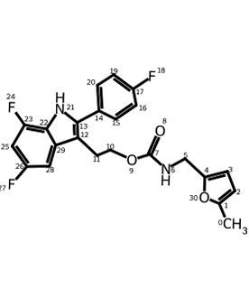 Cc1ccc(CNC(=O)OCCc2c(-c3ccc(F)cc3)[nH]c3c(F)cc(F)cc23)o1